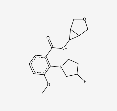 COc1cccc(C(=O)NC2C3COCC32)c1N1CCC(F)C1